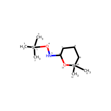 C[Si](C)(C)ONC1CCC[Si](C)(C)O1